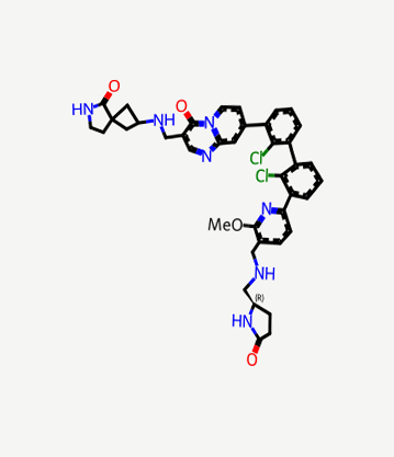 COc1nc(-c2cccc(-c3cccc(-c4ccn5c(=O)c(CNC6CC7(CCNC7=O)C6)cnc5c4)c3Cl)c2Cl)ccc1CNC[C@H]1CCC(=O)N1